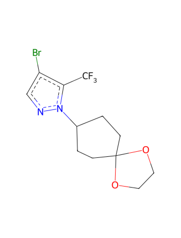 FC(F)(F)c1c(Br)cnn1C1CCC2(CC1)OCCO2